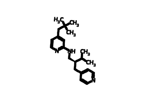 CC(C)[C@H](CNc1cc(CC(C)(C)C)ccn1)Cc1ccncc1